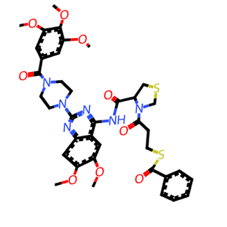 COc1cc2nc(N3CCN(C(=O)c4cc(OC)c(OC)c(OC)c4)CC3)nc(NC(=O)C3CSCN3C(=O)CCSC(=O)c3ccccc3)c2cc1OC